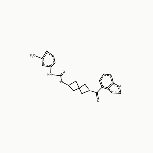 O=C(Nc1cccc(C(F)(F)F)c1)NC1CC2(C1)CN(C(=O)c1ccnc3[nH]ccc13)C2